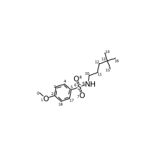 COc1ccc(S(=O)(=O)NCCCC(C)(C)C)cc1